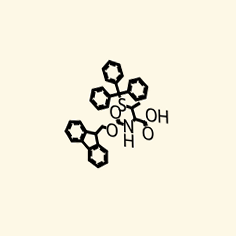 CC(SC(c1ccccc1)(c1ccccc1)c1ccccc1)C(NC(=O)OCC1c2ccccc2-c2ccccc21)C(=O)O